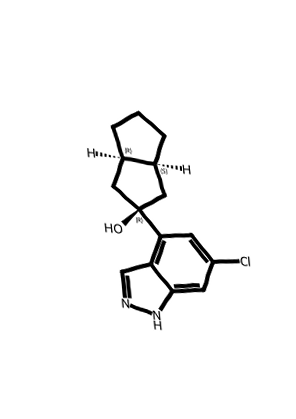 O[C@@]1(c2cc(Cl)cc3[nH]ncc23)C[C@H]2CCC[C@H]2C1